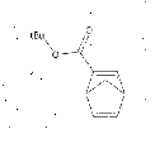 CC(C)(C)OC(=O)C1=CC2C=CC1C2